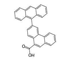 O=C(O)c1cc2ccccc2c2cc(-c3c4ccccc4cc4ccccc34)ccc12